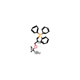 CCC[C@H](C=P(c1ccccc1)(c1ccccc1)c1ccccc1)CO[Si](C)(C)C(C)(C)C